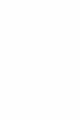 c1ccc(C2(NCc3ccccn3)CCCC2)cc1